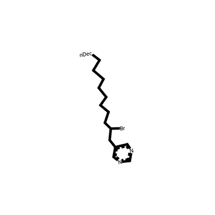 CCCCCCCCCCCCCCCCCCC(Br)Cc1cncnc1